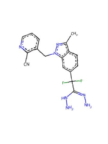 Cc1nn(Cc2cccnc2C#N)c2cc(C(F)(F)/C(=N/N)NN)ccc12